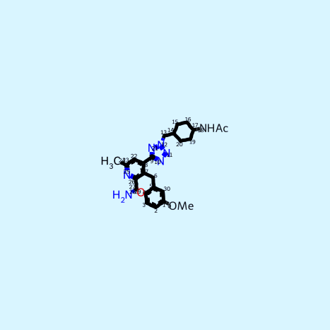 COc1cccc(Cc2c(-c3nnn(CC4CCC(NC(C)=O)CC4)n3)cc(C)nc2C(N)=O)c1